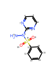 NN(c1ncccn1)S(=O)(=O)c1ccccc1